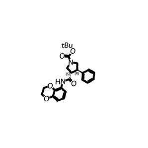 CC(C)(C)OC(=O)N1C[C@@H](C(=O)Nc2cccc3c2OCCO3)[C@H](c2ccccc2)C1